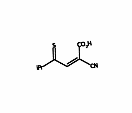 CC(C)C(=S)C=C(C#N)C(=O)O